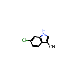 N#Cc1c[nH]c2cc(Cl)ccc12